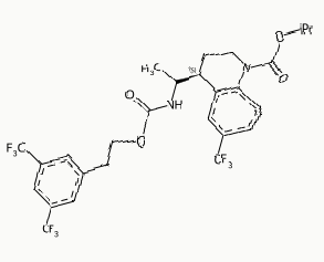 CC(C)OC(=O)N1CC[C@H](C(C)NC(=O)OCCc2cc(C(F)(F)F)cc(C(F)(F)F)c2)c2cc(C(F)(F)F)ccc21